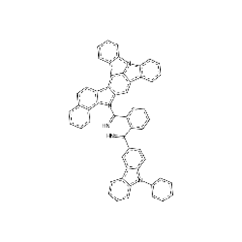 N=C(c1ccc2c(c1)c1ccccc1n2-c1ccccc1)c1ccccc1C(=N)n1c2cc3c4ccccc4n4c5ccccc5c(c2c2ccc5ccccc5c21)c34